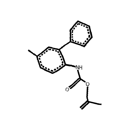 C=C(C)OC(=O)Nc1ccc(C)cc1-c1ccccc1